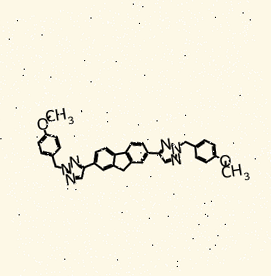 COc1ccc(Cn2ncc(-c3ccc4c(c3)Cc3cc(-c5cnn(Cc6ccc(OC)cc6)n5)ccc3-4)n2)cc1